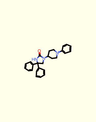 O=C1NC(c2ccccc2)(c2ccccc2)CN1C1CCN(c2ccccc2)CC1